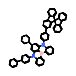 c1ccc(-c2ccc(N3c4ccccc4B4c5ccccc5N(c5ccc(-c6ccc7c(c6)C6(c8ccccc8-c8ccccc86)c6ccccc6-7)cc5)c5cc(C6CCCCC6)cc3c54)cc2)cc1